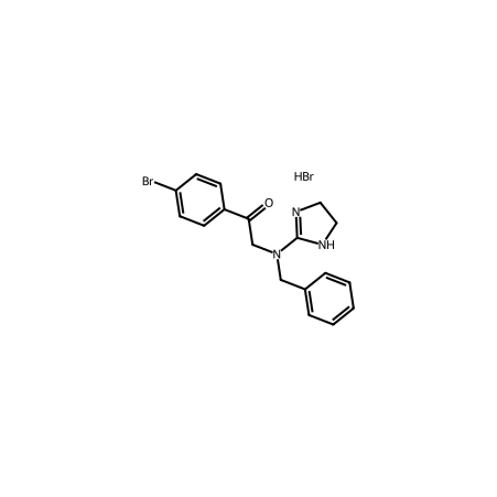 Br.O=C(CN(Cc1ccccc1)C1=NCCN1)c1ccc(Br)cc1